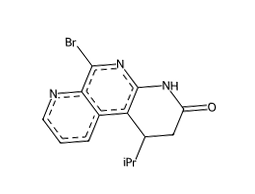 CC(C)C1CC(=O)Nc2nc(Br)c3ncccc3c21